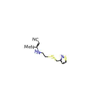 CNC(=CC#N)NCCSCc1ccsn1